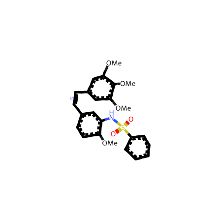 COc1ccc(/C=C\c2cc(OC)c(OC)c(OC)c2)cc1NS(=O)(=O)c1ccccc1